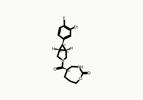 CCc1cc([C@H]2[C@@H]3CN(C(=O)[C@@H]4CCCOC(=O)NC4)C[C@@H]32)ccc1F